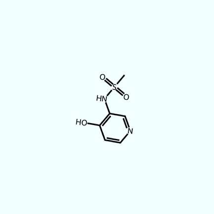 CS(=O)(=O)Nc1cnccc1O